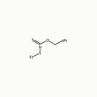 CCCCO[PH](=S)SCC